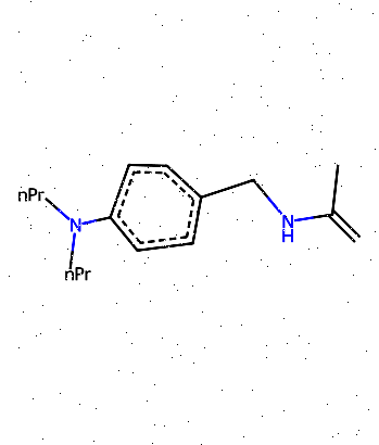 C=C(C)NCc1ccc(N(CCC)CCC)cc1